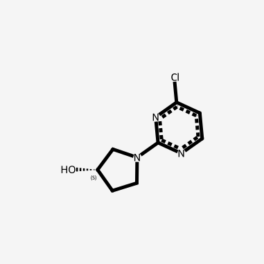 O[C@H]1CCN(c2nccc(Cl)n2)C1